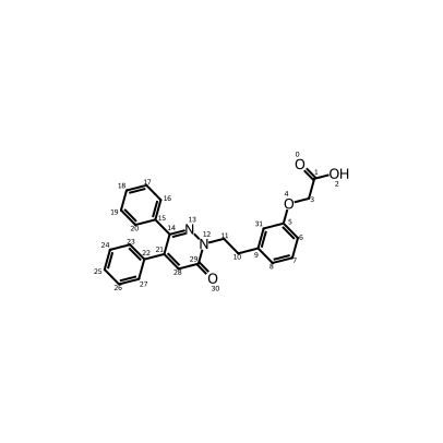 O=C(O)COc1cccc(CCn2nc(-c3ccccc3)c(-c3ccccc3)cc2=O)c1